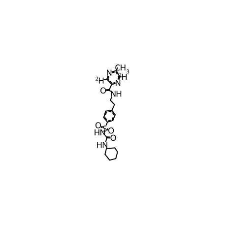 [2H]c1nc(C(=O)NCCc2ccc(S(=O)(=O)NC(=O)NC3CCCCC3)cc2)c([2H])nc1C